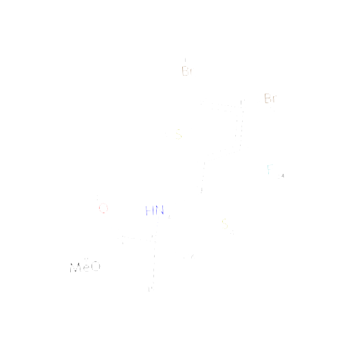 COC(=O)C1(NC(=S)c2sc(Br)c(Br)c2F)CC1